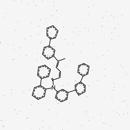 C=C(/C=C\C=C(/C)c1cccc(-c2ccccc2)c1)N(c1cccc(-c2cccc(-c3ccccc3)c2)c1)c1ccccc1-c1ccccc1